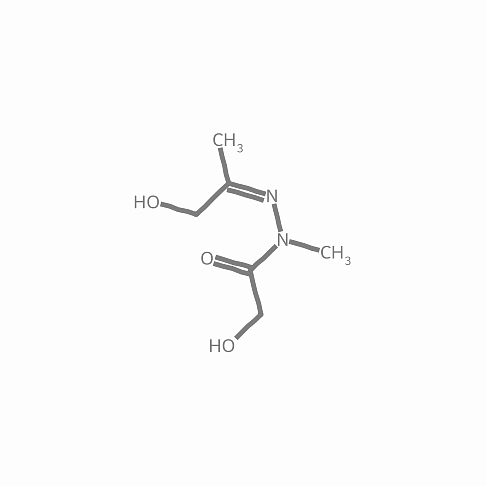 C/C(CO)=N/N(C)C(=O)CO